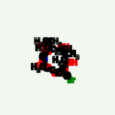 CC/C1=C\CC(/C(C)=C/C(C)C(C)O)OC(=O)C2CCCCN2C(=O)C(=O)C2(O)OC(CCC2C)CC(O)C(C)C2CC(CC(O)/C(C)=C/C(C)CC(C)C1O)OC(c1ccc(Br)cc1)O2